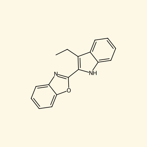 CCc1c(-c2nc3ccccc3o2)[nH]c2ccccc12